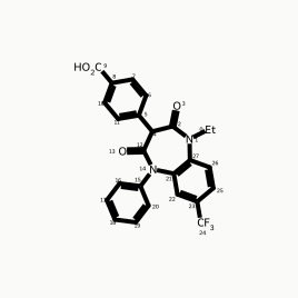 CCN1C(=O)C(c2ccc(C(=O)O)cc2)C(=O)N(c2ccccc2)c2cc(C(F)(F)F)ccc21